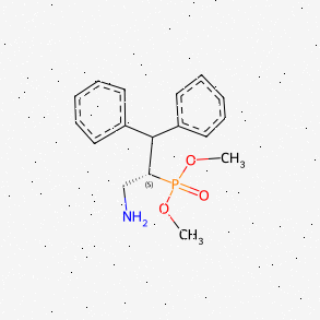 COP(=O)(OC)[C@H](CN)C(c1ccccc1)c1ccccc1